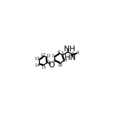 N=C(C1=CN1)c1ccc(Oc2ccccc2)cc1